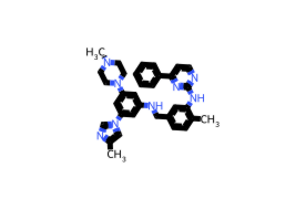 Cc1cn(-c2cc(NCc3ccc(C)c(Nc4nccc(-c5ccccc5)n4)c3)cc(N3CCN(C)CC3)c2)cn1